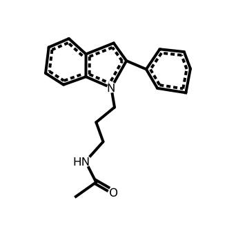 CC(=O)NCCCn1c(-c2ccccc2)cc2ccccc21